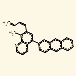 C=C/C=C\c1cc(-c2ccc3cc4ccccc4cc3c2)c2cccnc2c1N